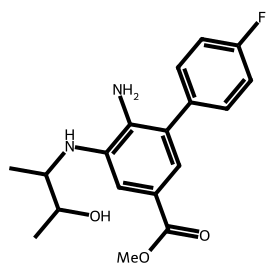 COC(=O)c1cc(NC(C)C(C)O)c(N)c(-c2ccc(F)cc2)c1